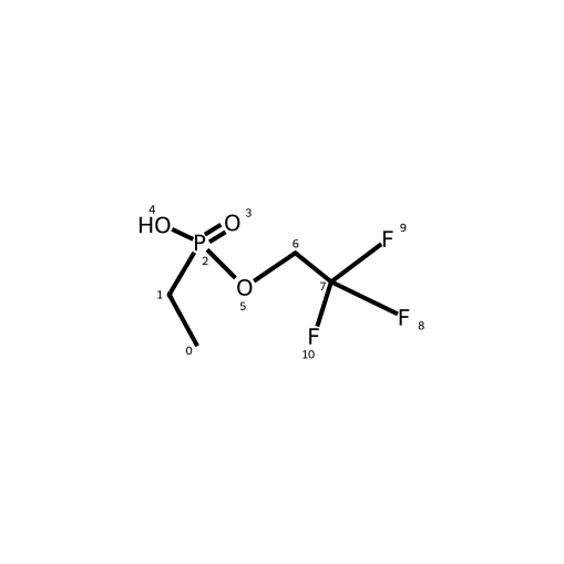 CCP(=O)(O)OCC(F)(F)F